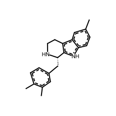 Cc1ccc2[nH]c3c(c2c1)CCN[C@H]3Cc1ccc(C)c(C)c1